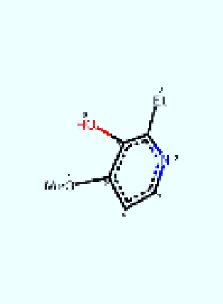 CCc1nccc(OC)c1O